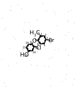 Cc1cc(Br)ccc1Oc1ccc(O)cc1Cl